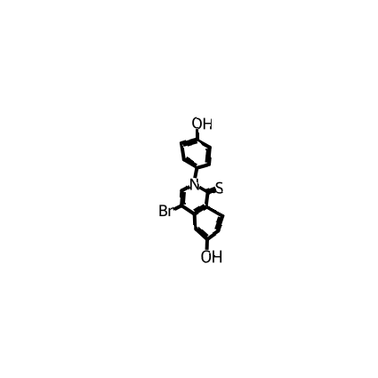 Oc1ccc(-n2cc(Br)c3cc(O)ccc3c2=S)cc1